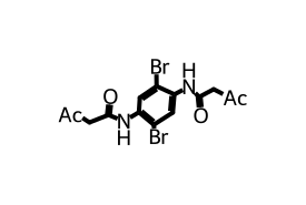 CC(=O)CC(=O)Nc1cc(Br)c(NC(=O)CC(C)=O)cc1Br